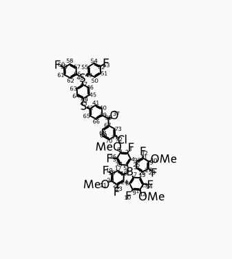 COc1c(F)cc([B-](c2cc(F)c(OC)c(F)c2)(c2cc(F)c(OC)c(F)c2)c2cc(F)c(OC)c(F)c2)cc1F.O=C(c1ccc(Sc2ccc([S+](c3ccc(F)cc3)c3ccc(F)cc3)cc2)cc1)c1cccc(Cl)c1